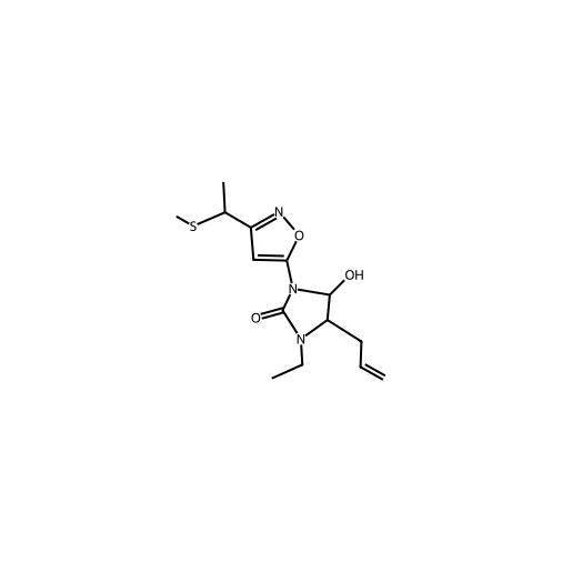 C=CCC1C(O)N(c2cc(C(C)SC)no2)C(=O)N1CC